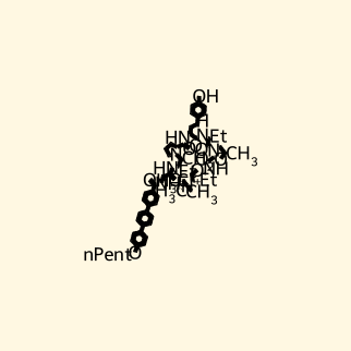 C=C(C(CC)NC(=O)CNC(=O)c1ccc(-c2ccc(-c3ccc(OCCCCC)cc3)cc2)cc1)N1CCCC1C(=O)NC(CCc1ccc(O)cc1)C(=O)NC(CC)C(=O)N1C[C@H](C)OC1C(=O)NC(CC)OCC[N+](C)(C)C